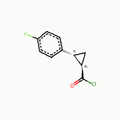 O=C(Cl)[C@@H]1C[C@H]1c1ccc(F)cc1